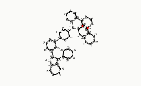 c1ccc(-c2ccccc2N(c2ccc(-c3cccc(-c4oc5ccccc5c4-c4ccccc4)c3)cc2)c2ccc3ccccc3c2)cc1